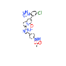 CC(=O)ONc1ccc(-c2cnc([C@@H]3CCc4cc(-c5cc(Cl)ccc5-n5cnnn5)cc(=O)n43)[nH]2)cc1